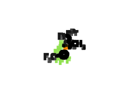 CCCC(CC)CCC(C)CP(c1cc(F)c(F)c(C(F)(F)C(F)(F)F)c1F)C(F)(F)C(F)(F)F